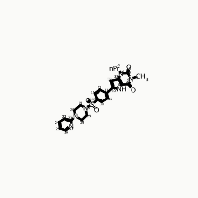 CCCn1c(=O)n(C)c(=O)c2[nH]c(-c3ccc(S(=O)(=O)N4CCN(c5ccccn5)CC4)cc3)cc21